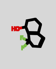 OC1CCCC2=C1C(F)(F)CC=C2